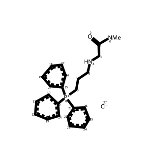 CNC(=O)CNCCC[P+](c1ccccc1)(c1ccccc1)c1ccccc1.[Cl-]